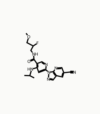 COCC(F)CNC(=O)c1cnc(-n2ncc3cc(C#N)cnc32)cc1NC(C)C